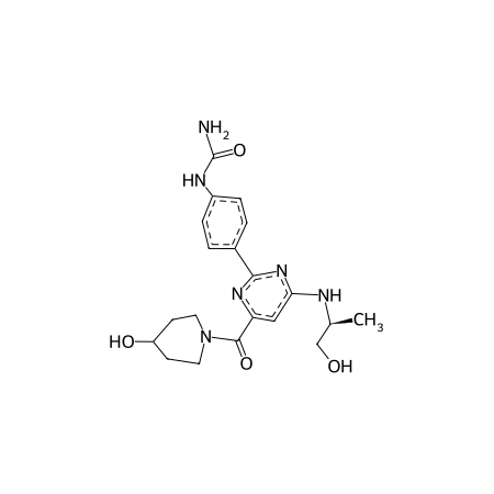 C[C@@H](CO)Nc1cc(C(=O)N2CCC(O)CC2)nc(-c2ccc(NC(N)=O)cc2)n1